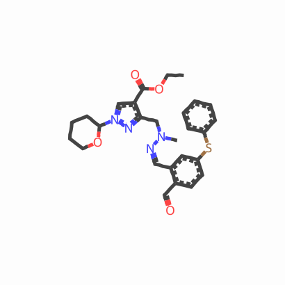 CCOC(=O)c1cn(C2CCCCO2)nc1CN(C)/N=C\c1cc(Sc2ccccc2)ccc1C=O